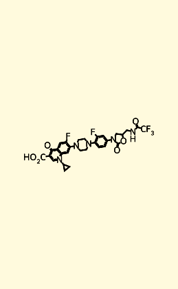 O=C(O)c1cn(C2CC2)c2cc(N3CCN(c4ccc(N5CC(CNC(=O)C(F)(F)F)OC5=O)cc4F)CC3)c(F)cc2c1=O